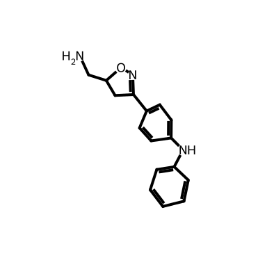 NCC1CC(c2ccc(Nc3ccccc3)cc2)=NO1